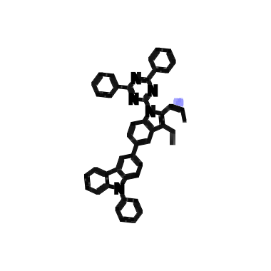 C=Cc1c(/C=C\C)n(-c2nc(-c3ccccc3)nc(-c3ccccc3)n2)c2ccc(-c3ccc4c(c3)c3ccccc3n4-c3ccccc3)cc12